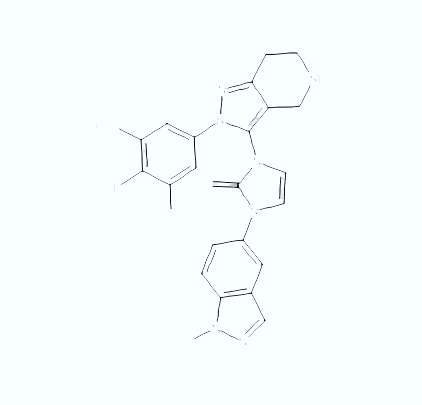 Cc1cc(-n2nc3c(c2-n2ccn(-c4ccc5c(cnn5C)c4)c2=O)CNCC3)cc(C)c1F